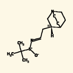 CC(C)(C)[S+]([O-])N=CC[C@@H]1CN2CCC1CC2